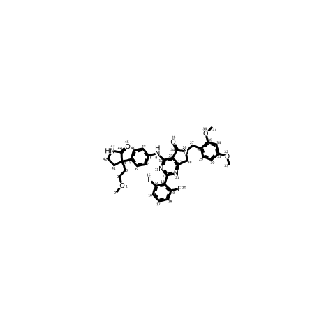 COCCC1(c2ccc(Nc3nc(-c4c(F)cccc4F)nc4c3C(=O)N(Cc3ccc(OC)cc3OC)C4)cc2)CCNC1=O